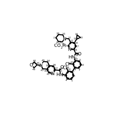 O=C(Nc1cccc(-c2cccc(NC(=O)c3cc(C4CC4)c(CN4CCCC[C@H]4C(=O)O)cn3)c2Cl)c1Cl)c1cc2c(cn1)CN(C1COC1)CC2